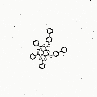 O=C(O[C@@H]1[C@H](OC(=O)c2ccccc2)[C@@H](Oc2ccc(-c3ccccc3)cc2)O[C@H](COc2ccc(-c3ccccc3)cc2)[C@H]1OC(=O)c1ccccc1)c1ccccc1